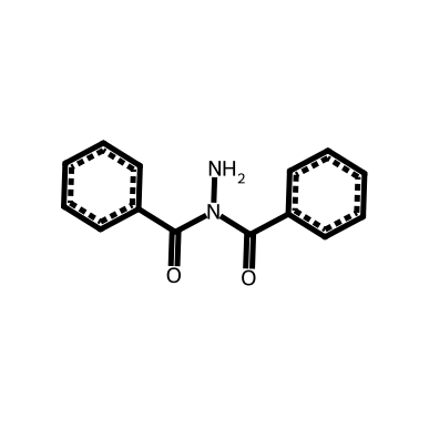 NN(C(=O)c1ccccc1)C(=O)c1ccccc1